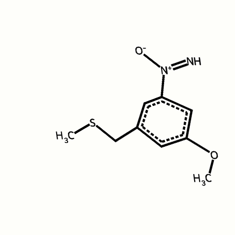 COc1cc(CSC)cc([N+](=N)[O-])c1